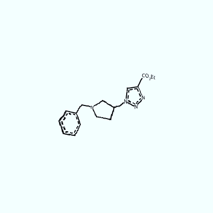 CCOC(=O)c1cn(C2CCN(Cc3ccccc3)C2)nn1